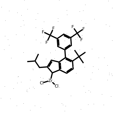 CC(C)CC1=Cc2c(ccc(C(C)(C)C)c2-c2cc(C(F)(F)F)cc(C(F)(F)F)c2)[CH]1[Zr]([Cl])[Cl]